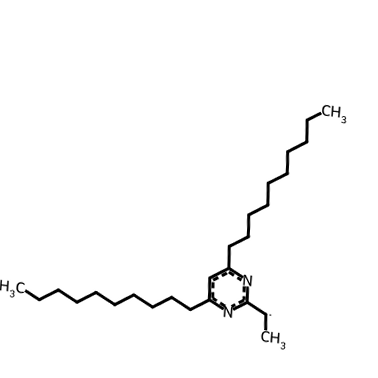 C[CH]c1nc(CCCCCCCCCC)cc(CCCCCCCCCC)n1